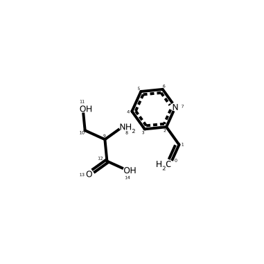 C=Cc1ccccn1.NC(CO)C(=O)O